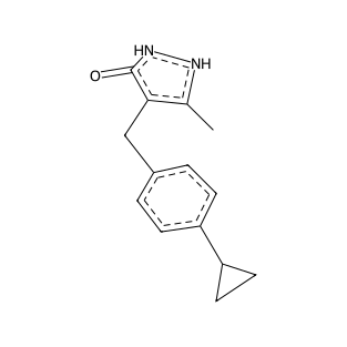 Cc1[nH][nH]c(=O)c1Cc1ccc(C2CC2)cc1